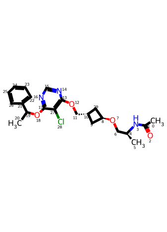 CC(=O)N[C@@H](C)CO[C@H]1C[C@H](COc2ncnc(OC(C)c3ccccc3)c2Cl)C1